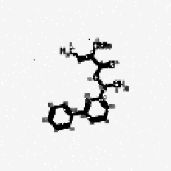 CC=C(OC)C(=O)ON(C)c1cccc(-c2ccccc2)n1